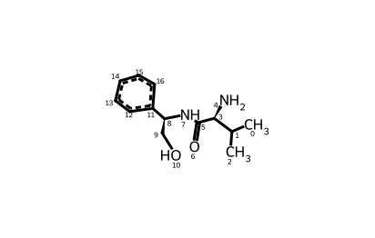 CC(C)[C@H](N)C(=O)N[C@@H](CO)c1ccccc1